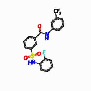 O=C(Nc1cccc(C(F)(F)F)c1)c1cccc(S(=O)(=O)Nc2ccccc2F)c1